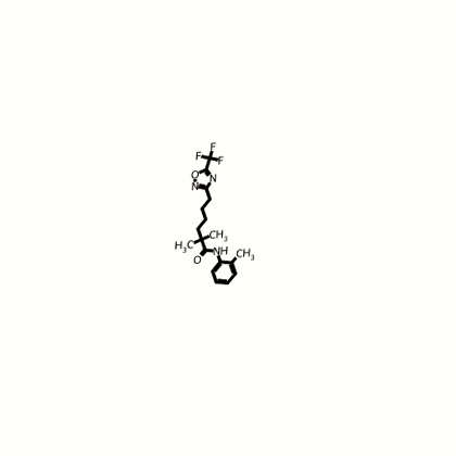 Cc1ccccc1NC(=O)C(C)(C)CCCCc1noc(C(F)(F)F)n1